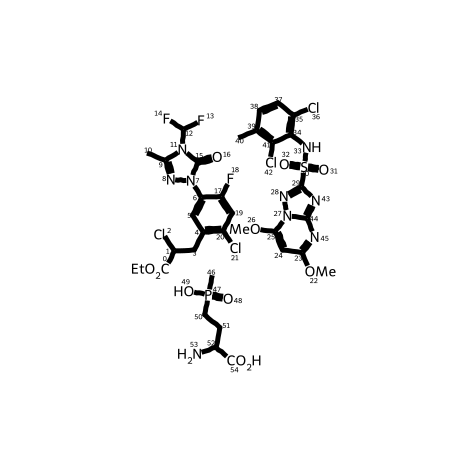 CCOC(=O)C(Cl)Cc1cc(-n2nc(C)n(C(F)F)c2=O)c(F)cc1Cl.COc1cc(OC)n2nc(S(=O)(=O)Nc3c(Cl)ccc(C)c3Cl)nc2n1.CP(=O)(O)CCC(N)C(=O)O